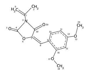 C=C(C)N1C(=O)O/C(=C/c2ccc(OC)cc2OC)C1=O